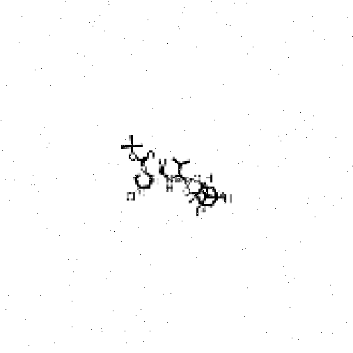 CC(C)[C@H](NC(=O)[C@@H]1C[C@H](Cl)CN1C(=O)OC(C)(C)C)B1O[C@@H]2C[C@@H]3C[C@@H](C3(C)C)[C@]2(C)O1